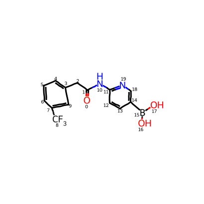 O=C(Cc1cccc(C(F)(F)F)c1)Nc1ccc(B(O)O)cn1